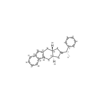 C[C@@H](c1ccccc1)N1C[C@H]2Cc3cc4ccccc4n3C[C@@H]2C1